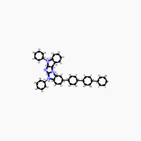 c1ccc(-c2ccc(-c3ccc(-c4ccc5c(c4)n4c6c7ccccc7n(-c7ccccc7)c6nc4n5-c4ccccc4)cc3)cc2)cc1